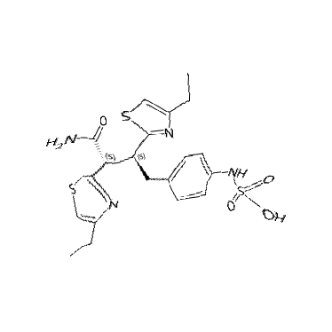 CCc1csc([C@@H](Cc2ccc(NS(=O)(=O)O)cc2)[C@@H](C(N)=O)c2nc(CC)cs2)n1